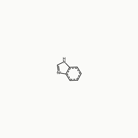 C1=[N+]c2ccccc2N1